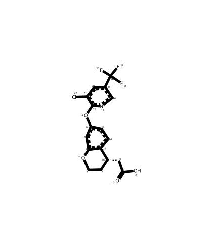 O=C(O)C[C@@H]1CCOc2cc(Oc3ncc(C(F)(F)F)cc3Cl)ccc21